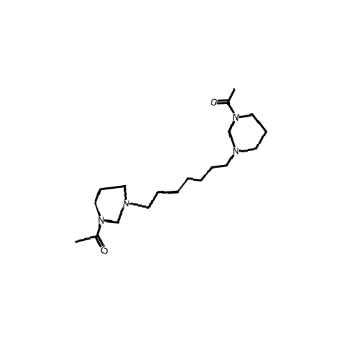 CC(=O)N1CCCN(CCCCCCCN2CCCN(C(C)=O)C2)C1